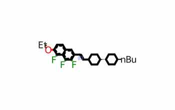 CCCC[C@H]1CC[C@H](C2CCC(/C=C/c3cc4ccc(OCC)c(F)c4c(F)c3F)CC2)CC1